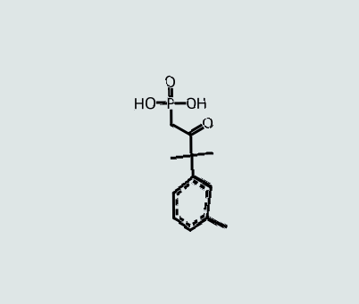 Cc1cccc(C(C)(C)C(=O)CP(=O)(O)O)c1